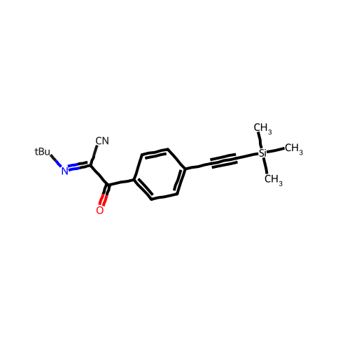 CC(C)(C)/N=C(\C#N)C(=O)c1ccc(C#C[Si](C)(C)C)cc1